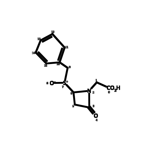 O=C(O)CN1C(=O)CC1[S+]([O-])Cc1ccccc1